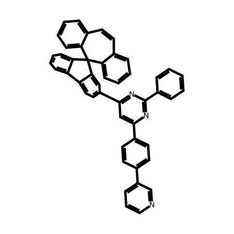 C1=Cc2ccccc2C2(c3ccccc31)c1ccccc1-c1ccc(-c3cc(-c4ccc(-c5cccnc5)cc4)nc(-c4ccccc4)n3)cc12